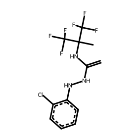 C=C(NNc1ccccc1Cl)NC(C)(C(F)(F)F)C(F)(F)F